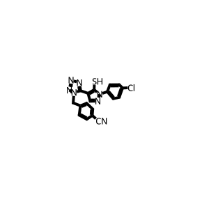 N#Cc1ccc(Cn2nnnc2-c2cnn(-c3ccc(Cl)cc3)c2S)cc1